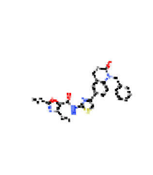 Cc1nc(C)c(C(=O)Nc2nc(-c3ccc4c(c3)CCC(=O)N4Cc3ccccc3)cs2)o1